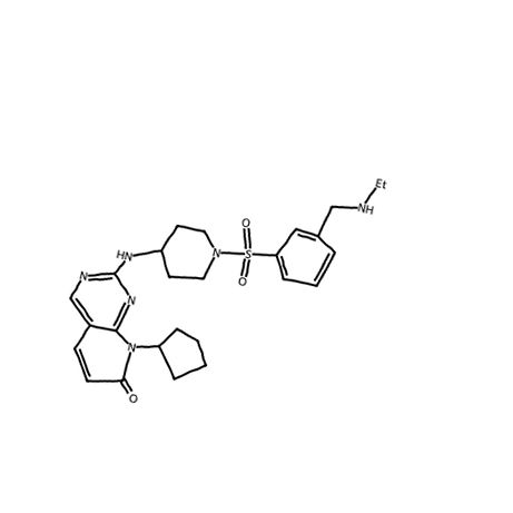 CCNCc1cccc(S(=O)(=O)N2CCC(Nc3ncc4ccc(=O)n(C5CCCC5)c4n3)CC2)c1